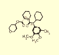 COc1cc([C@@H](C(=O)N2CCCC[C@H]2C(=O)OC2CCOCC2)C2CCCCC2)cc(C)c1OC